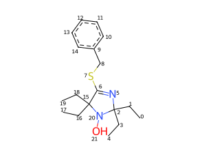 CCC1(CC)N=C(SCc2ccccc2)C(CC)(CC)N1O